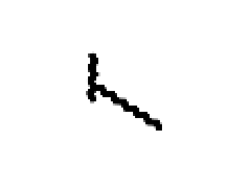 CCC[CH]CC(CC)CCCCCCCCCCCC